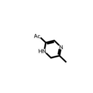 CC(=O)C1=CN=C(C)CN1